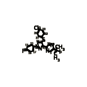 CC(C)(I)c1cnc(-c2nn(-c3ccc(F)cc3)cc2Sc2ccc(Cl)cc2)cn1